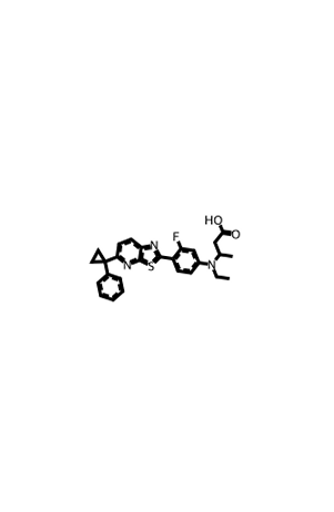 CCN(c1ccc(-c2nc3ccc(C4(c5ccccc5)CC4)nc3s2)c(F)c1)C(C)CC(=O)O